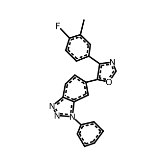 Cc1cc(-c2ncoc2-c2ccc3nnn(-c4ccccc4)c3c2)ccc1F